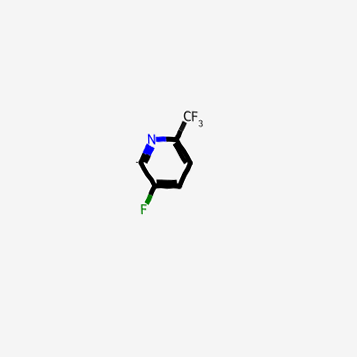 Fc1[c]nc(C(F)(F)F)cc1